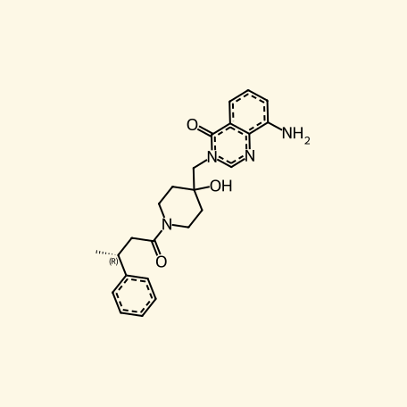 C[C@H](CC(=O)N1CCC(O)(Cn2cnc3c(N)cccc3c2=O)CC1)c1ccccc1